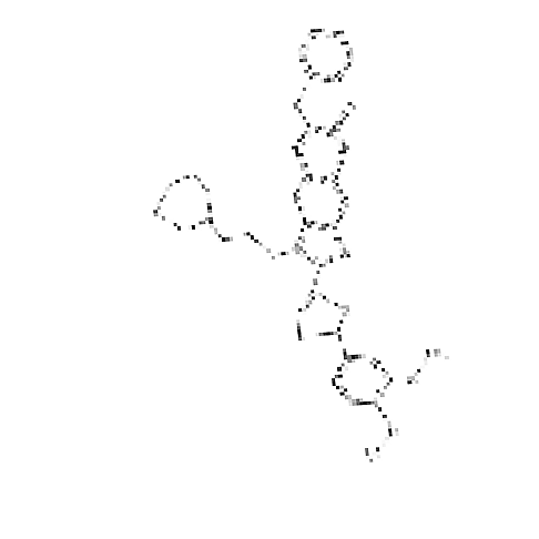 COc1ccc(C2CC=C(c3nc4cc5[nH]c(=O)c(Cc6ccccc6)nc5cc4n3CCCN3CCCCC3)S2)cc1OC